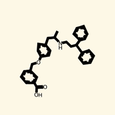 CC(Cc1ccc(OCc2cccc(C(=O)O)c2)cc1)NCCC(c1ccccc1)c1ccccc1